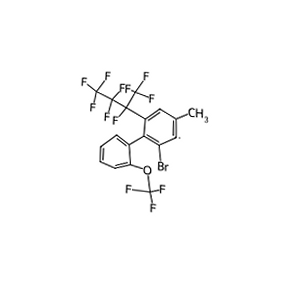 Cc1[c]c(Br)c(-c2ccccc2OC(F)(F)F)c(C(F)(C(F)(F)F)C(F)(F)C(F)(F)F)c1